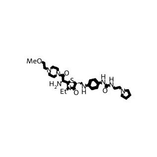 CCN1C(=O)[C@@H](CNc2ccc(NC(=O)NCCN3CCCC3)cc2)SC1[C@H](N)C(=O)N1CCN(CCOC)CC1